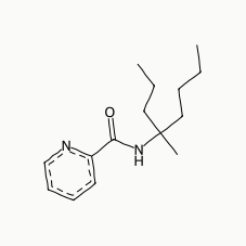 CCCCC(C)(CCC)NC(=O)c1ccccn1